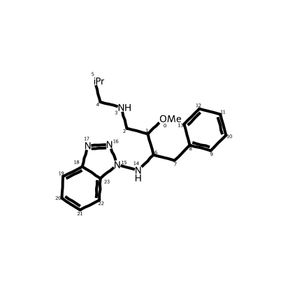 COC(CNCC(C)C)C(Cc1ccccc1)Nn1nnc2ccccc21